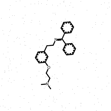 CN(C)CCOc1cccc(CCN=C(c2ccccc2)c2ccccc2)c1